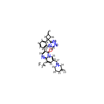 CC1CC(c2cccc(-c3cnc4c(C(F)(F)F)cc(CN5CCC[C@H](C)C5)cn4c3=O)c2)(c2nncn2C)C1